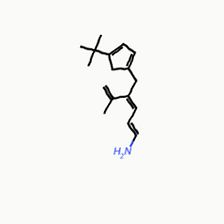 C=C(C)/C(=C\C=C\N)CC1=CC=C(C(C)(C)C)C1